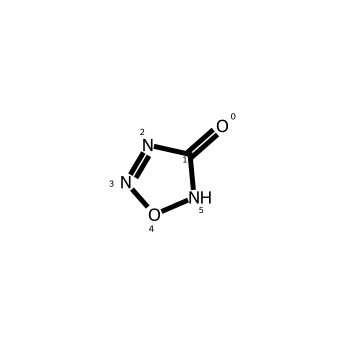 O=c1nno[nH]1